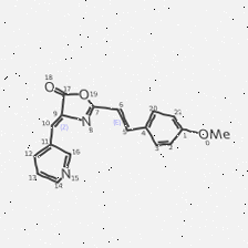 COc1ccc(/C=C/C2=NC(=C\c3cccnc3)/C(=O)O2)cc1